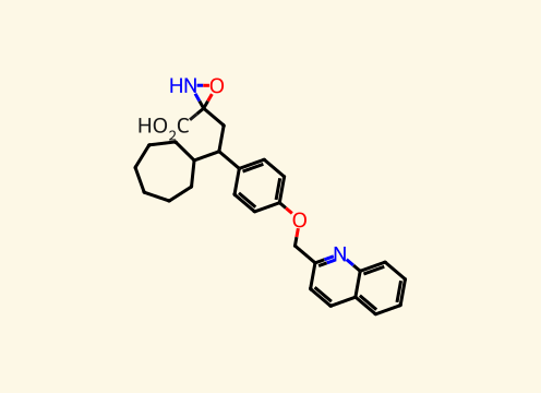 O=C(O)C1(CC(c2ccc(OCc3ccc4ccccc4n3)cc2)C2CCCCCC2)NO1